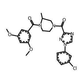 COc1cc(OC)cc(C(=O)N2CCN(C(=O)c3ncn(-c4cccc(Cl)c4)n3)CC2C)c1